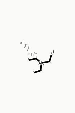 C[CH2][Al]([CH2]C)[CH2]C.[I-].[I-].[I-].[I-].[Ti+4]